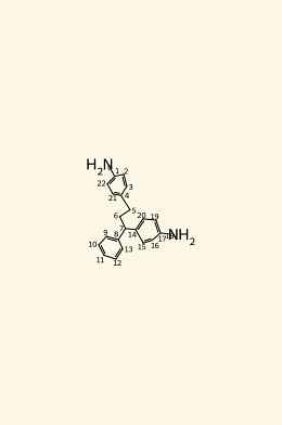 Nc1ccc(CCC(c2ccccc2)c2ccc(N)cc2)cc1